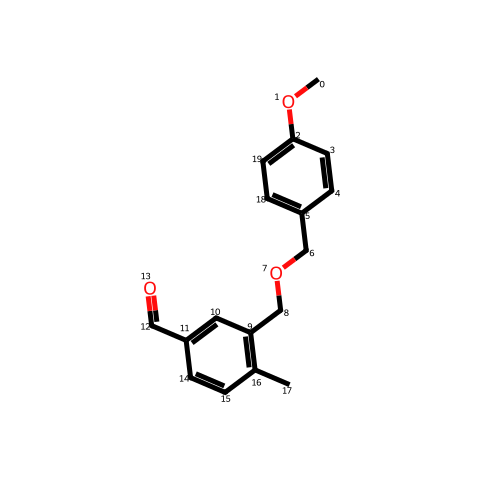 COc1ccc(COCc2cc(C=O)ccc2C)cc1